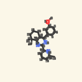 COc1cccc(-c2nc(-c3cccc(C)n3)nc3c2CCCC3(C)C)c1